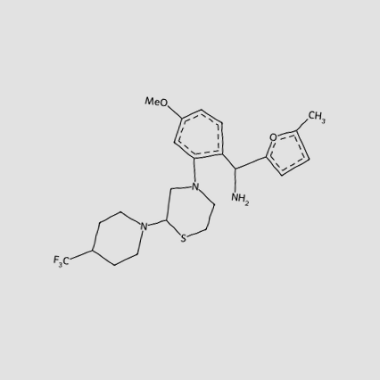 COc1ccc(C(N)c2ccc(C)o2)c(N2CCSC(N3CCC(C(F)(F)F)CC3)C2)c1